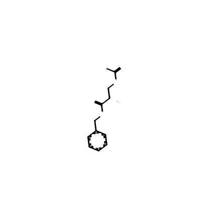 N[C@@H](COC(=O)Cl)C(=O)OCc1ccccc1